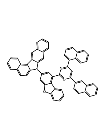 c1ccc2cc(-c3nc(-c4cccc5ccccc45)nc(-c4cc(-n5c6cc7ccccc7cc6c6c7ccccc7ccc65)cc5oc6ccccc6c45)n3)ccc2c1